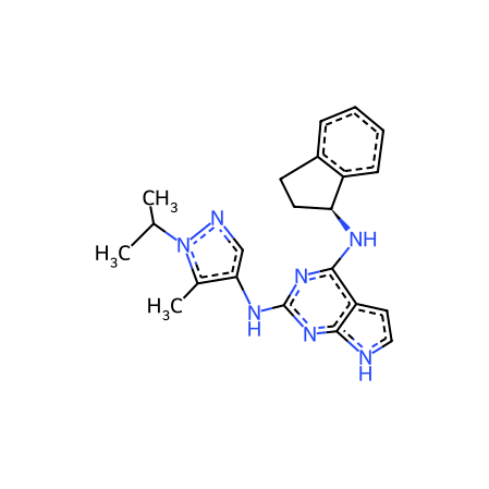 Cc1c(Nc2nc(N[C@H]3CCc4ccccc43)c3cc[nH]c3n2)cnn1C(C)C